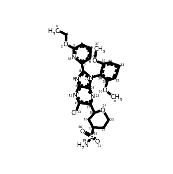 CCOc1cccc(-c2nc3nc(Cl)c(C4CC(S(N)(=O)=O)CCO4)nc3n2-c2c(OC)cccc2OC)n1